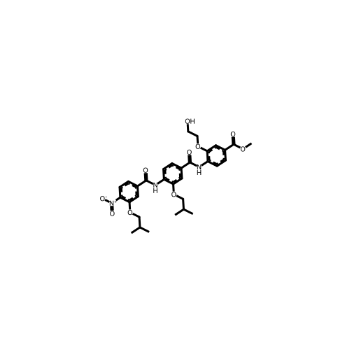 COC(=O)c1ccc(NC(=O)c2ccc(NC(=O)c3ccc([N+](=O)[O-])c(OCC(C)C)c3)c(OCC(C)C)c2)c(OCCO)c1